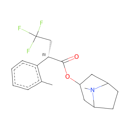 Cc1ccccc1[C@H](CC(F)(F)F)C(=O)OC1CC2CCC(C1)N2C